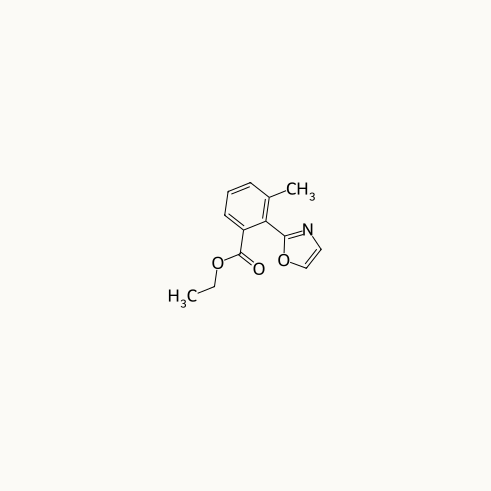 CCOC(=O)c1cccc(C)c1-c1ncco1